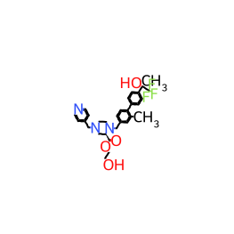 Cc1cc(CN2CCN(Cc3ccncc3)C[C@@H]2C(=O)OCCO)ccc1-c1ccc(C(C)(O)C(F)(F)F)cc1